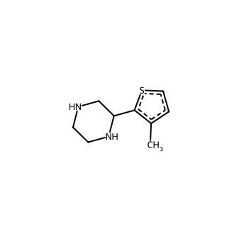 Cc1ccsc1C1CNCCN1